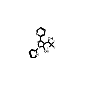 OC1C(C(O)C(F)(F)F)C(c2ccccn2)=NN1c1ccccn1